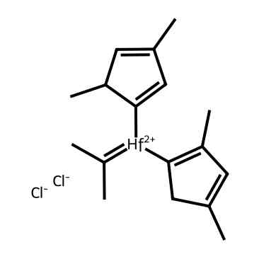 CC1=CC(C)[C]([Hf+2]([C]2=C(C)C=C(C)C2)=[C](C)C)=C1.[Cl-].[Cl-]